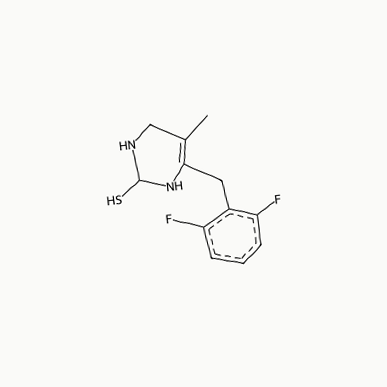 CC1=C(Cc2c(F)cccc2F)NC(S)NC1